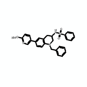 COc1ccc(-c2ccc3c(c2)CC(NS(=O)(=O)c2ccccc2)CN3Cc2ccccc2)cn1